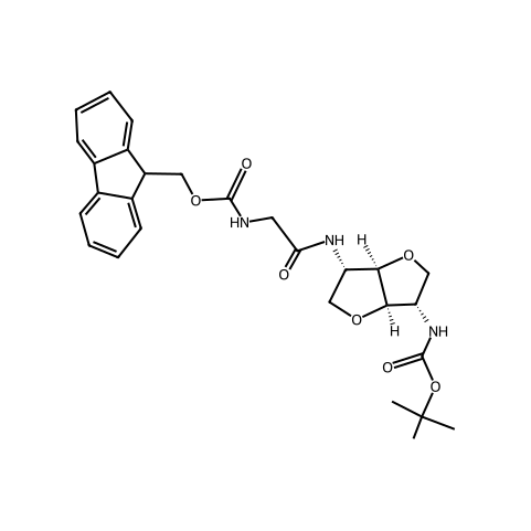 CC(C)(C)OC(=O)N[C@H]1CO[C@H]2[C@@H]1OC[C@@H]2NC(=O)CNC(=O)OCC1c2ccccc2-c2ccccc21